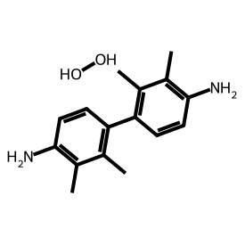 Cc1c(N)ccc(-c2ccc(N)c(C)c2C)c1C.OO